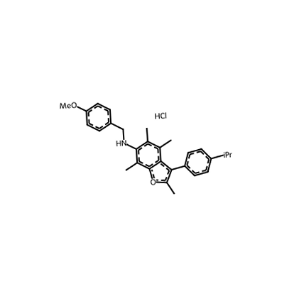 COc1ccc(CNc2c(C)c(C)c3c(-c4ccc(C(C)C)cc4)c(C)oc3c2C)cc1.Cl